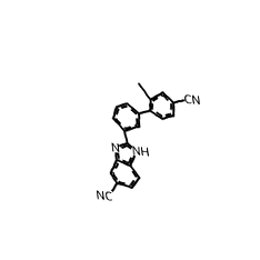 Cc1cc(C#N)ccc1-c1cccc(-c2nc3cc(C#N)ccc3[nH]2)c1